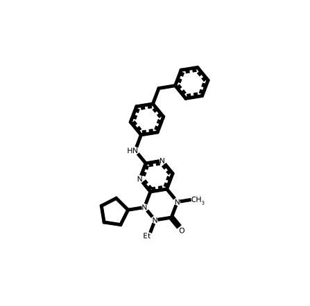 CCN1C(=O)N(C)c2cnc(Nc3ccc(Cc4ccccc4)cc3)nc2N1C1CCCC1